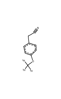 [2H]C([2H])([2H])Oc1ccc(CC#N)cc1